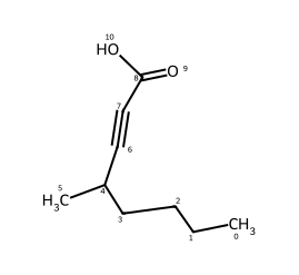 CCCCC(C)C#CC(=O)O